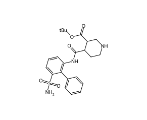 CC(C)(C)OC(=O)C1CNCCC1C(=O)Nc1cccc(S(N)(=O)=O)c1-c1ccccc1